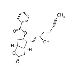 CC#CCC[C@@H](O)/C=C/[C@@H]1[C@H]2CC(=O)O[C@H]2C[C@H]1OC(=O)c1ccccc1